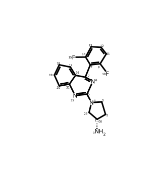 N[C@H]1CCN(c2nc(-c3c(F)cccc3F)c3ccccc3n2)C1